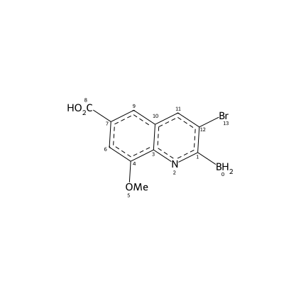 Bc1nc2c(OC)cc(C(=O)O)cc2cc1Br